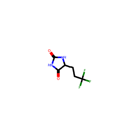 O=C1NC(=O)C(CCC(F)(F)F)N1